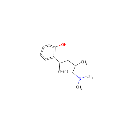 CCCCCC(CC(C)CN(C)C)c1ccccc1O